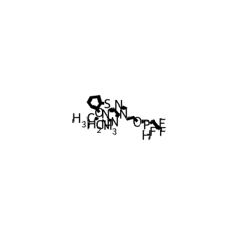 CC(C)Oc1ccccc1Sc1nc(N)nc2c1ncn2CCOCPCC(F)(F)F